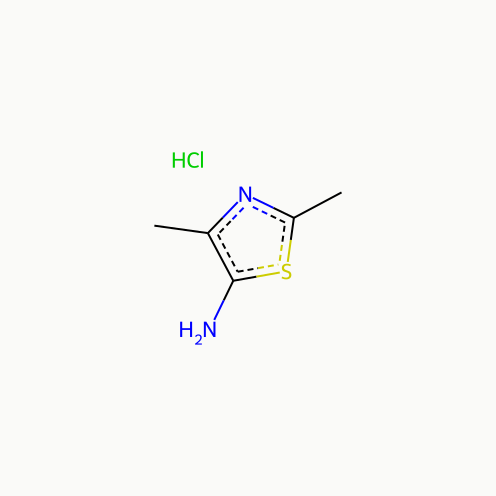 Cc1nc(C)c(N)s1.Cl